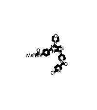 CNC(=O)Nc1ccc(-c2nc(N3CCOCC3)c3cnn(C4CCN(C(=O)c5ccc(Cl)nc5)CC4)c3n2)cc1